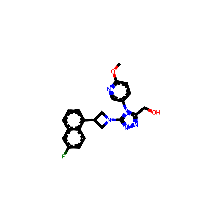 COc1ccc(-n2c(CO)nnc2N2CC(c3cccc4cc(F)ccc34)C2)cn1